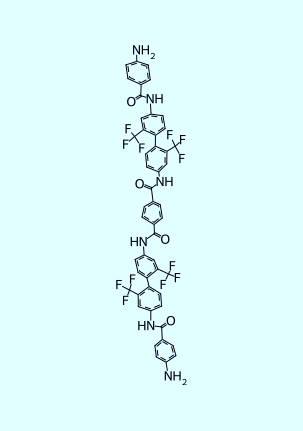 Nc1ccc(C(=O)Nc2ccc(-c3ccc(NC(=O)c4ccc(C(=O)Nc5ccc(-c6ccc(NC(=O)c7ccc(N)cc7)cc6C(F)(F)F)c(C(F)(F)F)c5)cc4)cc3C(F)(F)F)c(C(F)(F)F)c2)cc1